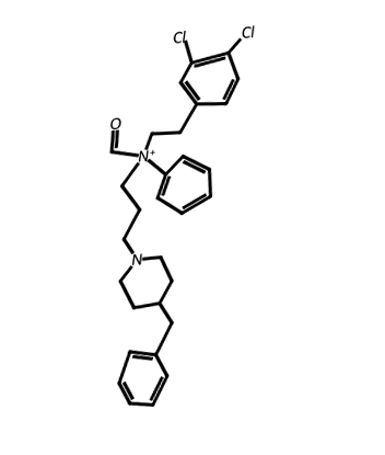 O=C[N+](CCCN1CCC(Cc2ccccc2)CC1)(CCc1ccc(Cl)c(Cl)c1)c1ccccc1